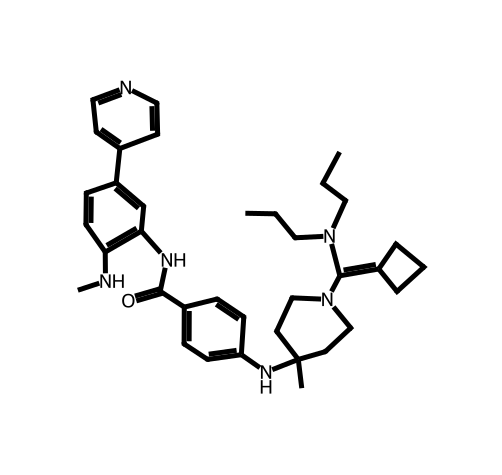 CCCN(CCC)C(=C1CCC1)N1CCC(C)(Nc2ccc(C(=O)Nc3cc(-c4ccncc4)ccc3NC)cc2)CC1